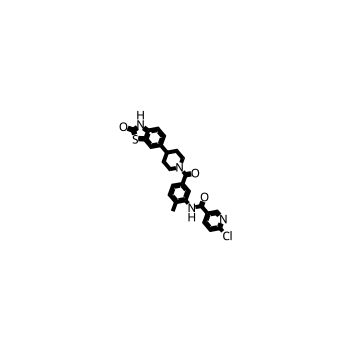 Cc1ccc(C(=O)N2CCC(c3ccc4[nH]c(=O)sc4c3)CC2)cc1NC(=O)c1ccc(Cl)nc1